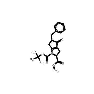 COC(=O)C1CC2=C(CC(Cc3ccccc3)C2=O)N1C(=O)OC(C)(C)C